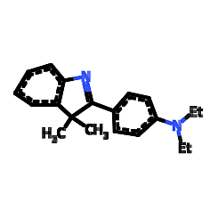 CCN(CC)c1ccc(C2=Nc3ccccc3C2(C)C)cc1